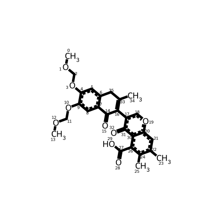 COCOc1cc2c(cc1OCOC)C(=O)C(c1coc3cc(C)c(C)c(C(=O)O)c3c1=O)=C(C)C2